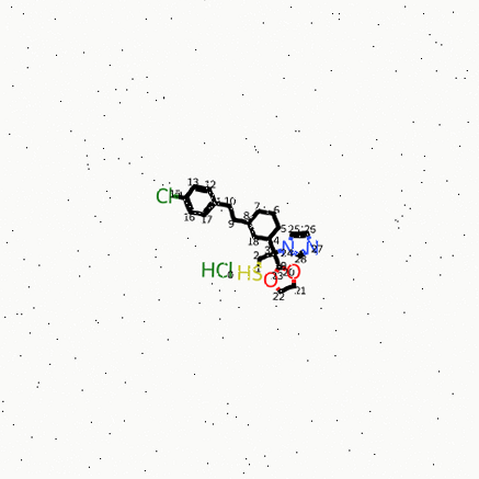 Cl.SCC(C1CCCC(CCc2ccc(Cl)cc2)C1)(C1OCCO1)n1ccnc1